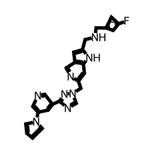 FC12CC(CNCc3cc4cnc(Cn5cnc(-c6cncc(-n7cccc7)c6)n5)cc4[nH]3)(C1)C2